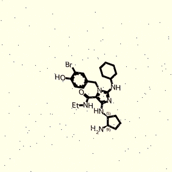 CCNC(=O)c1c(N[C@H]2CCC[C@H]2N)nc(NC2CCCCC2)n1Cc1ccc(O)c(Br)c1